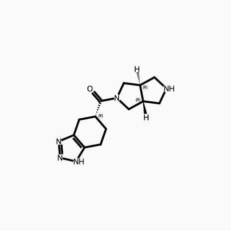 O=C([C@@H]1CCc2[nH]nnc2C1)N1C[C@H]2CNC[C@@H]2C1